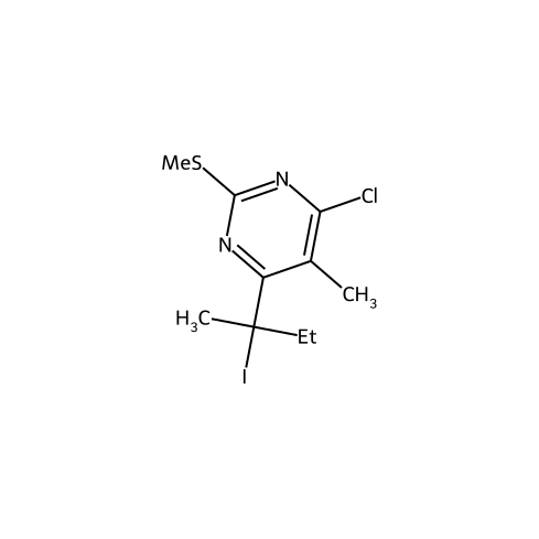 CCC(C)(I)c1nc(SC)nc(Cl)c1C